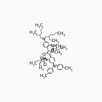 CCCCC(CC)CN(CC(CC)CCCC)c1ccc(C2=C([O-])/C(=C3/C=CC(=[N+](c4ccc(C)cc4)c4ccc(C)cc4)C=C3NC(=O)C(C)(C)CC)C2=O)c(NC(=O)C(C)(C)CC)c1